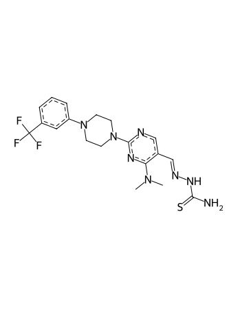 CN(C)c1nc(N2CCN(c3cccc(C(F)(F)F)c3)CC2)ncc1C=NNC(N)=S